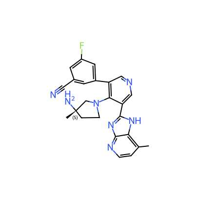 Cc1ccnc2nc(-c3cncc(-c4cc(F)cc(C#N)c4)c3N3CC[C@](C)(N)C3)[nH]c12